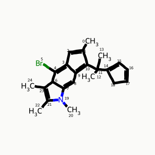 CC1=CC2=C(Br)C3C(=CC2=C1C(C)(C)C1=CC=CC1)N(C)C(C)=C3C